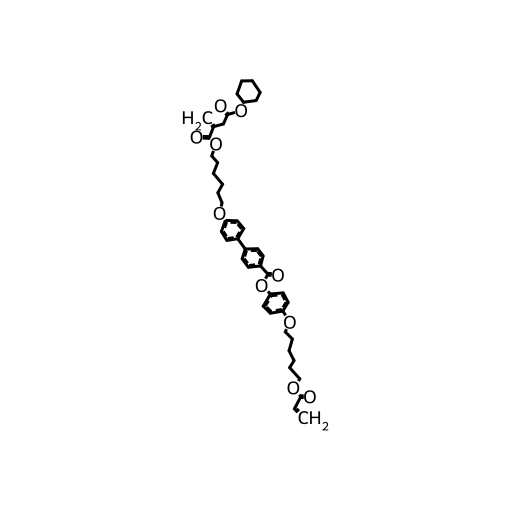 C=CC(=O)OCCCCCCOc1ccc(OC(=O)c2ccc(-c3ccc(OCCCCCCOC(=O)C(=C)CC(=O)OC4CCCCC4)cc3)cc2)cc1